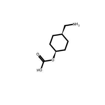 NC[C@H]1CC[C@@H](OC(=O)O)CC1